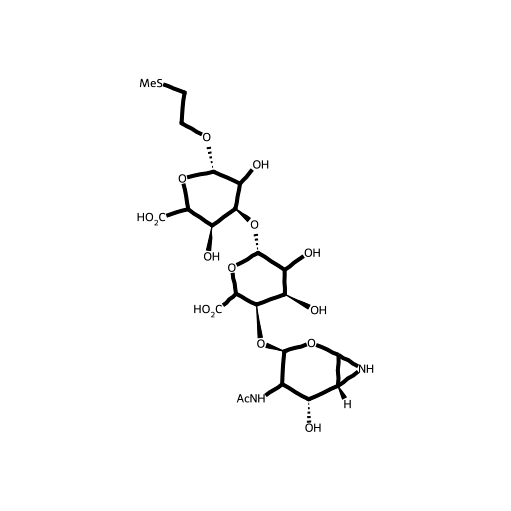 CSCCO[C@H]1OC(C(=O)O)[C@H](O)[C@H](O[C@H]2OC(C(=O)O)[C@H](O[C@H]3OC4N[C@@H]4[C@H](O)C3NC(C)=O)[C@H](O)C2O)C1O